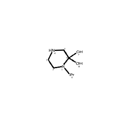 CC(C)N1CCNCC1(O)O